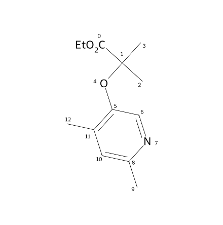 CCOC(=O)C(C)(C)Oc1cnc(C)cc1C